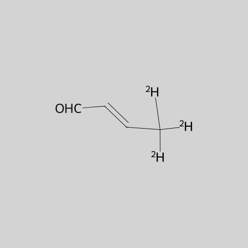 [2H]C([2H])([2H])/C=C/C=O